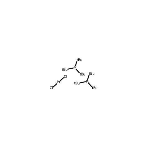 CC(C)(C)P(C(C)(C)C)C(C)(C)C.CC(C)(C)P(C(C)(C)C)C(C)(C)C.[Cl][Pt][Cl]